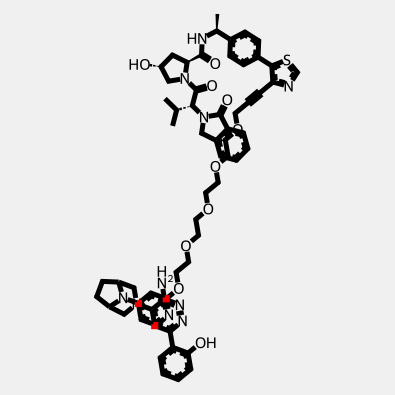 CC(C)[C@H](C(=O)N1C[C@H](O)C[C@H]1C(=O)N[C@@H](C)c1ccc(-c2scnc2C#CCOCCOCCOCCOCCOc2cc(N3C4CCC3CN(c3cc(-c5ccccc5O)nnc3N)C4)ccn2)cc1)N1Cc2ccccc2C1=O